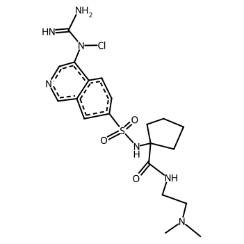 CN(C)CCNC(=O)C1(NS(=O)(=O)c2ccc3c(N(Cl)C(=N)N)cncc3c2)CCCC1